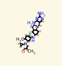 C/C(C=O)=C/N(c1cc(Nc2ccc3c(c2)CCN3Cc2cnc(N)nc2N)c(F)cc1C)C1CC1